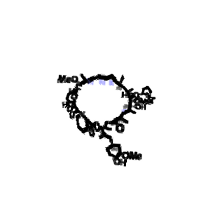 CO[C@H]1C[C@@H]2CC[C@@H](C)[C@@](O)(O2)C(=O)C(=O)N2CCCC[C@H]2C(=O)O[C@H]([C@H](C)C[C@@H]2CC[C@@H](O)[C@H](OC)C2)CC(=O)[C@H](C)/C=C(\C)[C@@H](O)[C@@H](OC)C(=O)[C@H](C)C[C@H](C)/C=C/C=C/C=C/1C.C[Si](C)(C)N1CCCC1C(=O)O